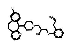 C=CCc1ccccc1OCC(O)CN1CCC(=C2c3ccc(Cl)cc3CCc3cccnc32)CC1